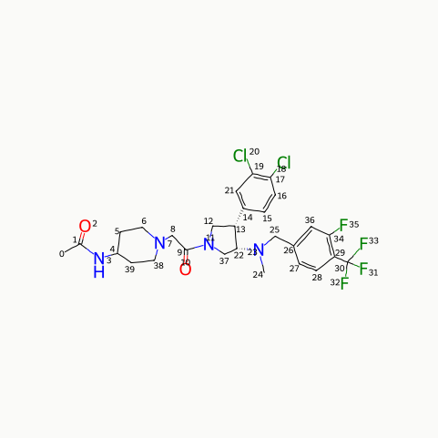 CC(=O)NC1CCN(CC(=O)N2C[C@H](c3ccc(Cl)c(Cl)c3)[C@H](N(C)Cc3ccc(C(F)(F)F)c(F)c3)C2)CC1